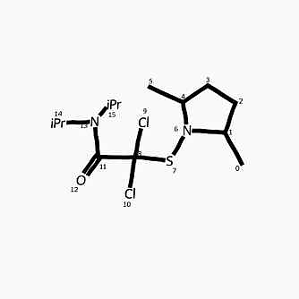 CC1CCC(C)N1SC(Cl)(Cl)C(=O)N(C(C)C)C(C)C